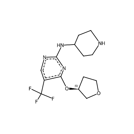 FC(F)(F)c1cnc(NC2CCNCC2)nc1O[C@H]1CCOC1